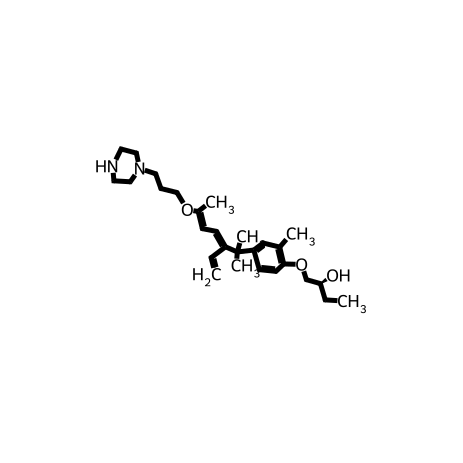 C=C/C(=C\C=C(/C)OCCCN1CCNCC1)C(C)(C)c1ccc(OC[C@@H](O)CC)c(C)c1